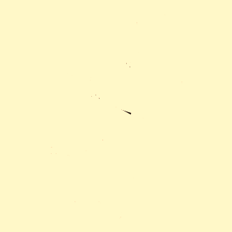 O=C1CN(C2COCC2O)C[C@@H]2C[C@H](c3c(O)ccc(Cl)c3Cl)CN12